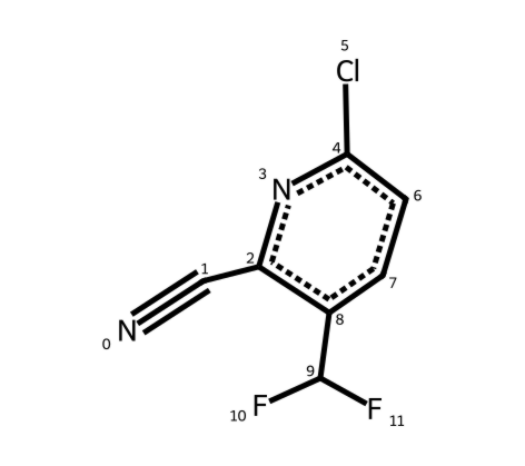 N#Cc1nc(Cl)ccc1C(F)F